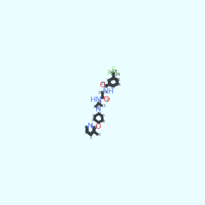 Cc1cccnc1O[C@H]1CC[C@@H](N2CC(NC(=O)CNC(=O)c3cccc(C(F)(F)F)c3)C2)CC1